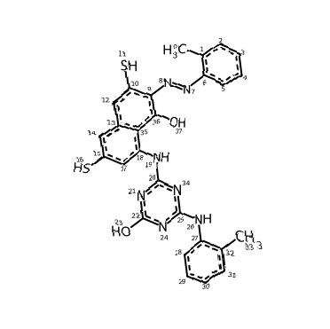 Cc1ccccc1N=Nc1c(S)cc2cc(S)cc(Nc3nc(O)nc(Nc4ccccc4C)n3)c2c1O